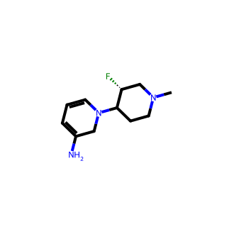 CN1CCC(N2C=CC=C(N)C2)[C@H](F)C1